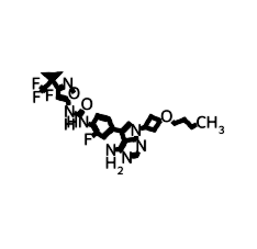 CCCCOC1CC(n2cc(-c3ccc(NC(=O)Nc4cc(C5(C(F)(F)F)CC5)no4)c(F)c3)c3c(N)ncnc32)C1